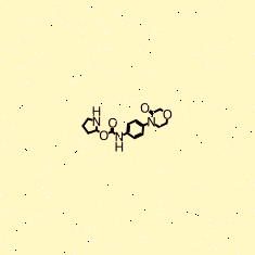 O=C(Nc1ccc(N2CCOCC2=O)cc1)OC1CCCN1